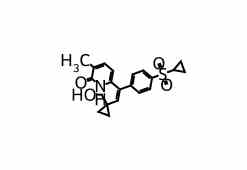 Cc1ccc(/C(=C\C2(CO)CC2)c2ccc(S(=O)(=O)C3CC3)cc2)[nH]c1=O